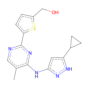 Cc1cnc(-c2ccc(CO)s2)nc1Nc1cc(C2CC2)[nH]n1